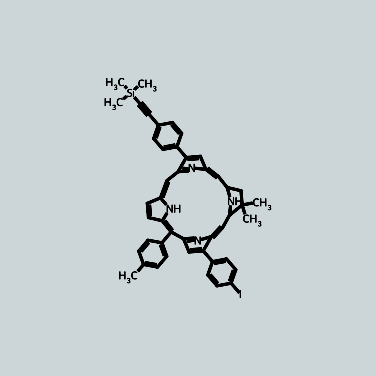 Cc1ccc(/C2=c3\cc/c([nH]3)=C/C3=NC(=C\C4CC(C)(C)C(/C=C5N=C2C=C\5c2ccc(I)cc2)N4)/C=C3c2ccc(C#C[Si](C)(C)C)cc2)cc1